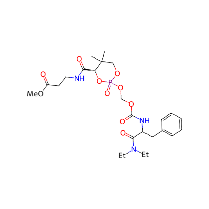 CCN(CC)C(=O)C(Cc1ccccc1)NC(=O)OCOP1(=O)OCC(C)(C)[C@H](C(=O)NCCC(=O)OC)O1